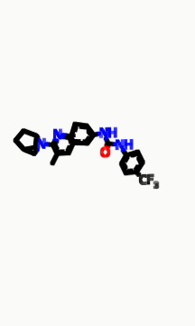 Cc1cc2cc(NC(=O)Nc3ccc(C(F)(F)F)cc3)ccc2nc1N1CC2CCC1C2